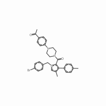 CC(=O)c1ccc(N2CCN(C(=O)c3c(-c4ccc(C)cc4)c(C)cn3Cc3ccc(Br)cc3)CC2)cc1